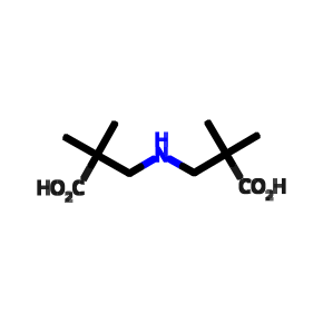 CC(C)(CNCC(C)(C)C(=O)O)C(=O)O